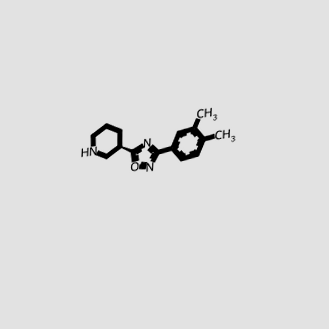 Cc1ccc(-c2noc([C@@H]3CCCNC3)n2)cc1C